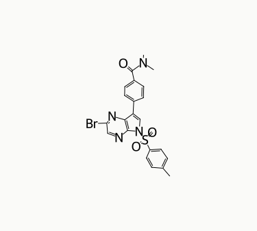 Cc1ccc(S(=O)(=O)n2cc(-c3ccc(C(=O)N(C)C)cc3)c3nc(Br)cnc32)cc1